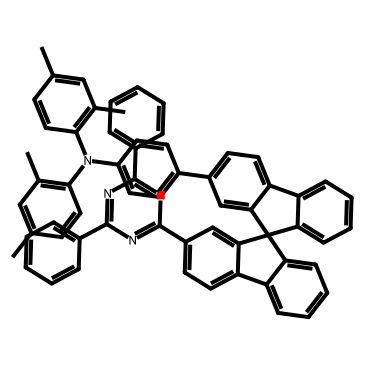 Cc1ccc(N(c2ccc(-c3ccc4c(c3)C3(c5ccccc5-4)c4ccccc4-c4ccc(-c5nc(-c6ccccc6)nc(-c6ccccc6)n5)cc43)cc2)c2ccc(C)cc2C)c(C)c1